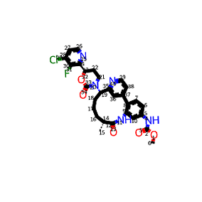 COC(=O)Nc1ccc2c(c1)NC(=O)[C@H](C)CCC[C@H](N1CC[C@H](c3nccc(Cl)c3F)OC1=O)c1cc-2ccn1